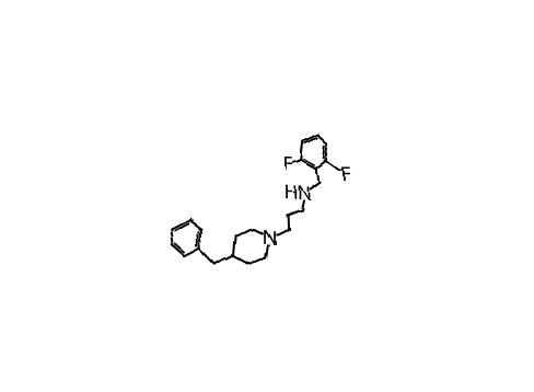 Fc1cccc(F)c1CNCCCN1CCC(Cc2ccccc2)CC1